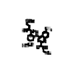 COCCC(=N)N[C@@H]1CCCC[C@@H]1Nc1nc(C(=O)NCC(C)(C)C)nc2ccc(C)cc12.Cl.Cl